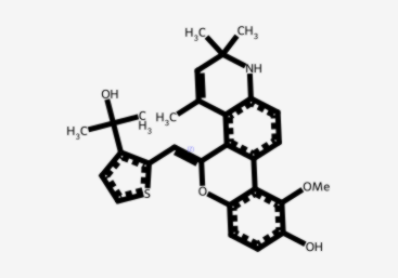 COc1c(O)ccc2c1-c1ccc3c(c1/C(=C/c1sccc1C(C)(C)O)O2)C(C)=CC(C)(C)N3